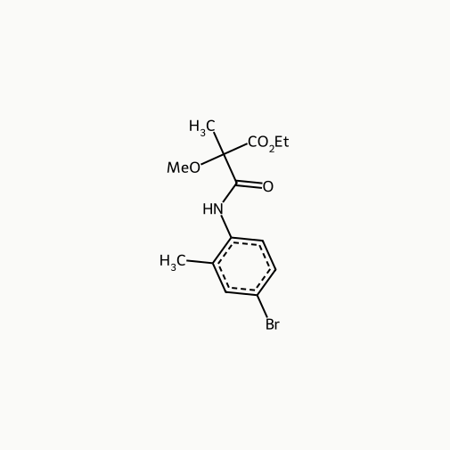 CCOC(=O)C(C)(OC)C(=O)Nc1ccc(Br)cc1C